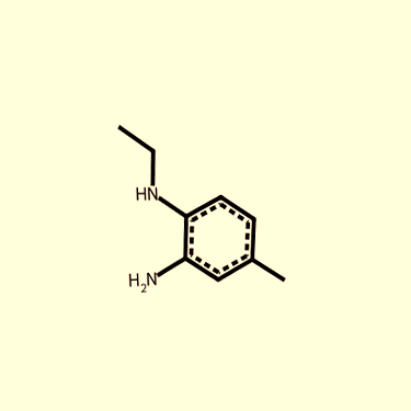 CCNc1ccc(C)cc1N